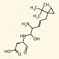 CC(C)(C)C1(CC=CC(N)C(O)N[C@@H](C=O)CC(=O)O)CC1